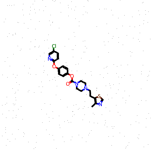 Cc1ncsc1CCN1CCN(C(=O)Oc2ccc(Oc3ccc(Cl)cn3)cc2)CC1